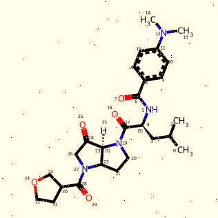 CC(C)C[C@H](NC(=O)c1ccc(N(C)C)cc1)C(=O)N1CCC2[C@H]1C(=O)CN2C(=O)C1CCOC1